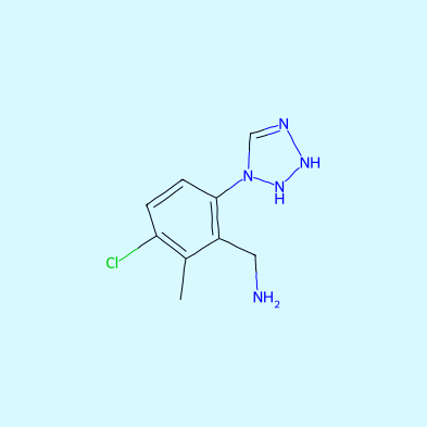 Cc1c(Cl)ccc(N2C=NNN2)c1CN